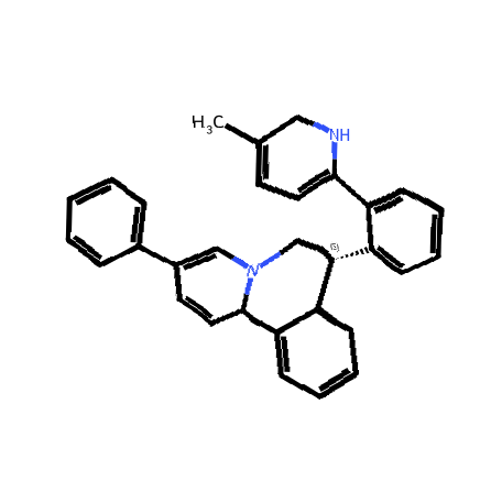 CC1=CC=C(c2ccccc2[C@H]2CN3C=C(c4ccccc4)C=CC3C3=CC=CCC32)NC1